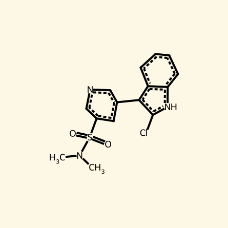 CN(C)S(=O)(=O)c1cncc(-c2c(Cl)[nH]c3ccccc23)c1